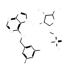 Clc1cc(Cl)cc(CNc2ncnc3nc[nH]c23)c1.O=P(O)(O)OC[C@H]1OC(O)[C@H](O)[C@@H]1O